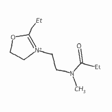 CCC(=O)N(C)CC[N+]1=C(CC)OCC1